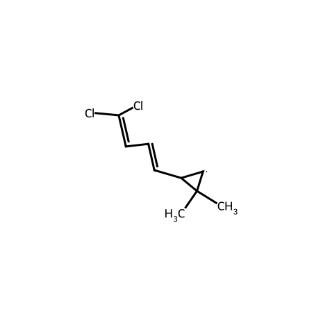 CC1(C)[CH]C1C=CC=C(Cl)Cl